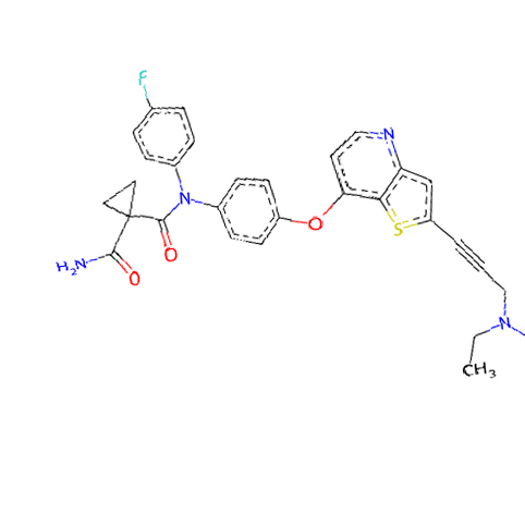 CCN(CC)CC#Cc1cc2nccc(Oc3ccc(N(C(=O)C4(C(N)=O)CC4)c4ccc(F)cc4)cc3)c2s1